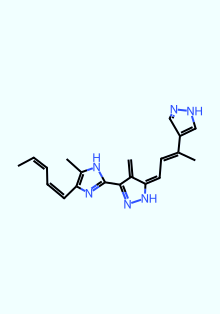 C=c1c(-c2nc(/C=C\C=C/C)c(C)[nH]2)n[nH]/c1=C/C=C(\C)c1cn[nH]c1